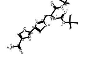 CC(C)(C)OC(=O)N[C@@H](Cc1nc(-c2nc(C(N)=O)co2)cs1)C(=O)OC(C)(C)C